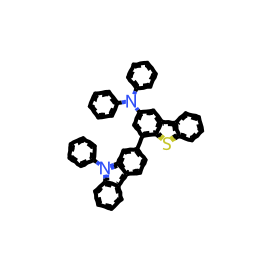 c1ccc(N(c2ccccc2)c2cc(-c3ccc4c5ccccc5n(-c5ccccc5)c4c3)c3sc4ccccc4c3c2)cc1